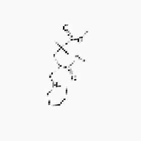 COC(=O)C(CN1CCCCC1)CC(C)(C)C(=O)OC